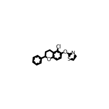 Clc1c(Oc2nccs2)ccc2c1CCC(c1ccccc1)O2